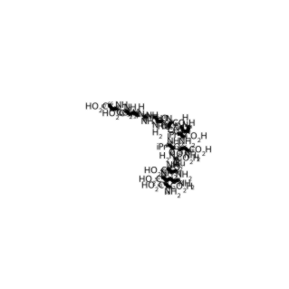 CC(C)C[C@H](N)C(=O)O.CC(C)C[C@H](N)C(=O)O[C@H](C)[C@H](N)C(=O)O.CC(C)[C@H](N)C(=O)OC(=O)C[C@H](N)C(=O)O.CC[C@H](C)[C@H](N)C(=O)O.N=C(N)NCCC[C@H](N)C(=O)O.NC(=O)C[C@H](N)C(=O)O.NCCCC[C@H](N)C(=O)O.N[C@@H](CC(=O)O)C(=O)O.N[C@@H](CCC(=O)O)C(=O)O.O=C(O)[C@@H]1CCCN1